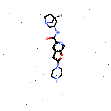 O=C(N[C@@H]1C[C@H]2CCN(C2)C1)c1cc2cc(N3CCNCC3)oc2cn1